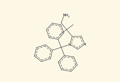 CC(C)(CN)c1cncn1C(c1ccccc1)(c1ccccc1)c1ccccc1